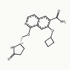 NC(=O)c1cc2ccnc(OC[C@@H]3CCC(=O)N3)c2cc1OC1CCC1